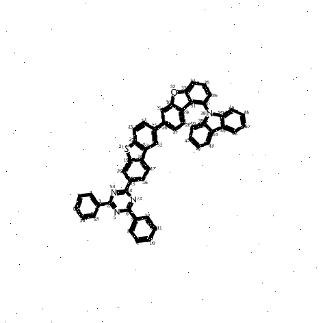 c1ccc(-c2nc(-c3ccccc3)nc(-c3ccc4c(c3)sc3ccc(-c5ccc6c(c5)oc5cccc(-n7c8ccccc8c8ccccc87)c56)cc34)n2)cc1